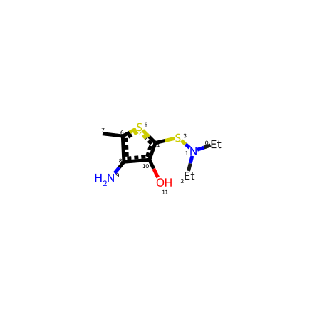 CCN(CC)Sc1sc(C)c(N)c1O